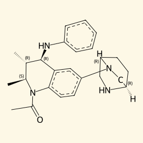 CC(=O)N1c2ccc(N3C[C@H]4CC[C@@H]3CN4)cc2[C@H](Nc2ccccc2)[C@@H](C)[C@@H]1C